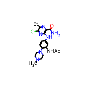 CCc1nc(C(N)=O)c(Nc2ccc(N3CCN(C)CC3)c(NC(C)=O)c2)nc1Cl